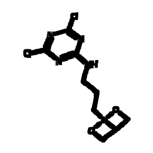 Clc1nc(Cl)nc(NCCC[Si]23OCC2CO3)n1